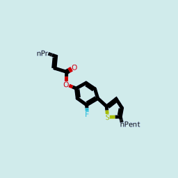 CCC/C=C/C(=O)Oc1ccc(-c2ccc(CCCCC)s2)c(F)c1